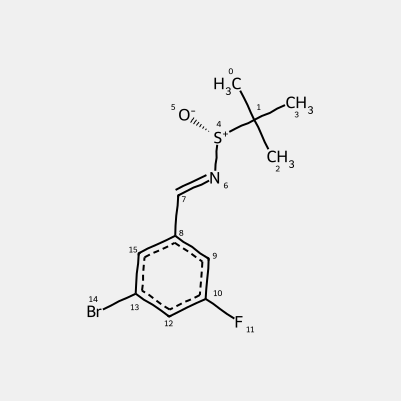 CC(C)(C)[S@@+]([O-])/N=C/c1cc(F)cc(Br)c1